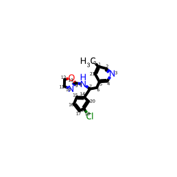 Cc1cncc(CC(NC2=NCCO2)c2cccc(Cl)c2)c1